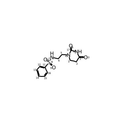 O=C1CCN(CCNS(=O)(=O)c2ccccc2)C(=O)N1